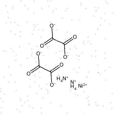 O=C([O-])C(=O)[O-].O=C([O-])C(=O)[O-].[NH4+].[NH4+].[Ni+2]